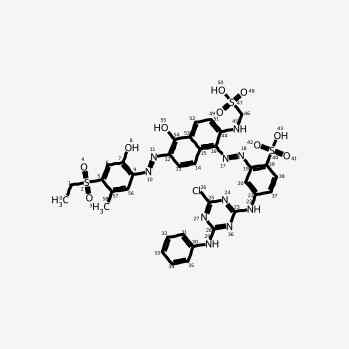 CCS(=O)(=O)c1cc(O)c(/N=N/c2ccc3c(/N=N/c4cc(Nc5nc(Cl)nc(Nc6ccccc6)n5)ccc4S(=O)(=O)O)c(NCS(=O)(=O)O)ccc3c2O)cc1C